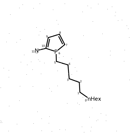 CCCCCCCCCCCp1cccc1[N]